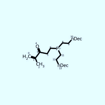 C=C(C)C(=O)CCP(CCCCCCCCCCCC)CCCCCCCCCCCC